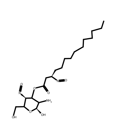 CCCCCCCCCCC[C@H](CC(=O)OC1C(N)[C@@H](O)OC(CO)[C@H]1N=O)N=O